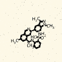 Cc1cc([C@@H](C)Nc2ccccc2S(N)(=O)=O)c2cc(-c3ccc4c(c3)c(C)nn4C)ncc2c1